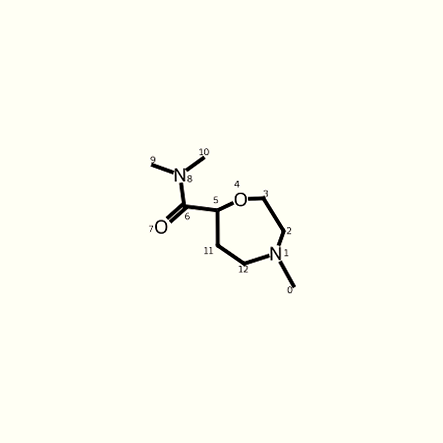 CN1CCOC(C(=O)N(C)C)CC1